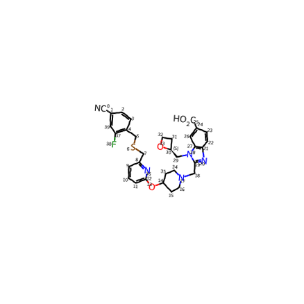 N#Cc1ccc(CSCc2cccc(OC3CCN(Cc4nc5ccc(C(=O)O)cc5n4C[C@@H]4CCO4)CC3)n2)c(F)c1